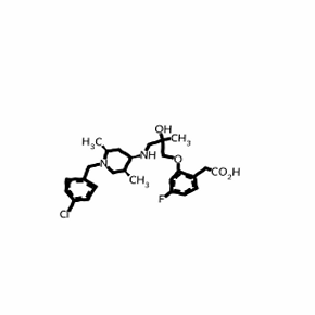 C[C@H]1CN(Cc2ccc(Cl)cc2)[C@@H](C)C[C@H]1NCC(C)(O)COc1cc(F)ccc1CC(=O)O